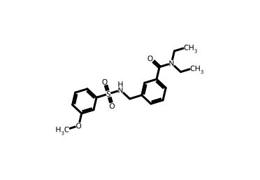 CCN(CC)C(=O)c1cccc(CNS(=O)(=O)c2cccc(OC)c2)c1